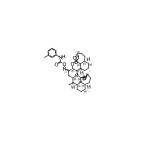 Cc1cccc(NC(=O)O/N=C(/C[C@H]2O[C@@H]3C[C@]4(C)CC[C@H]5[C@H](C)CC[C@@H]([C@H]2C)[C@@]35OO4)[C@H]2O[C@@H]3C[C@]4(C)CC[C@H]5[C@H](C)CC[C@@H]([C@H]2C)[C@@]35OO4)c1